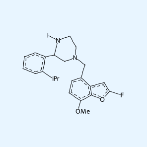 COc1ccc(CN2CCN(I)C(c3ccccc3C(C)C)C2)c2cc(F)oc12